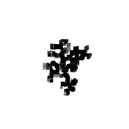 CC(C)(C)[C@H](NC(=O)C(F)(F)F)C(=O)N1C[C@@H]2CC(F)(F)C[C@@H]2[C@@H]1C(=O)N[C@H](/C=C(\F)S(C)(=O)=O)C[C@H]1CCNC1=O